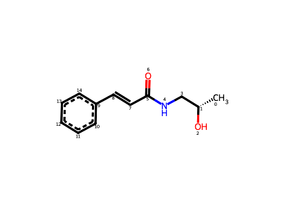 C[C@H](O)CNC(=O)/C=C/c1ccccc1